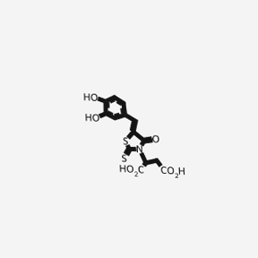 O=C(O)CC(C(=O)O)N1C(=O)C(=Cc2ccc(O)c(O)c2)SC1=S